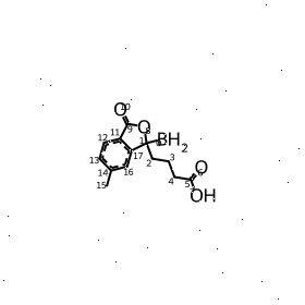 BC1(CCCC(=O)O)OC(=O)c2ccc(C)cc21